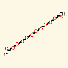 CC(=O)CCOCCOCCOCCOCCOCCOCCOCCOCCOCCOCCC(C)=O